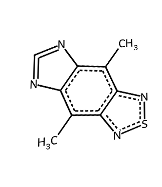 Cc1c2c(c(C)c3nsnc13)N=C=N2